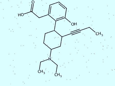 CCC#CC1CC(N(CC)CC)CCC1c1c(O)cccc1CC(=O)O